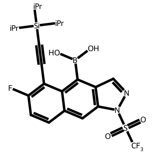 CC(C)[Si](C#Cc1c(F)ccc2cc3c(cnn3S(=O)(=O)C(F)(F)F)c(B(O)O)c12)(C(C)C)C(C)C